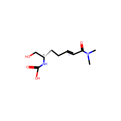 CN(C)C(=O)/C=C/CC[C@@H](CO)NC(=O)O